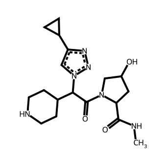 CNC(=O)C1CC(O)CN1C(=O)C(C1CCNCC1)n1cc(C2CC2)nn1